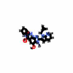 COc1cc(C(=O)N2CC3CCC2[C@H]3N)cc2nc(-c3cc4cccnc4n3CC3CC3)n(C)c12